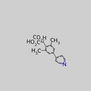 Cc1cc(-c2ccncc2)cc(C)c1C(C(=O)O)C(=O)O